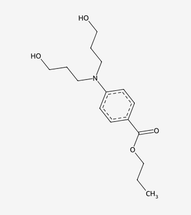 CCCOC(=O)c1ccc(N(CCCO)CCCO)cc1